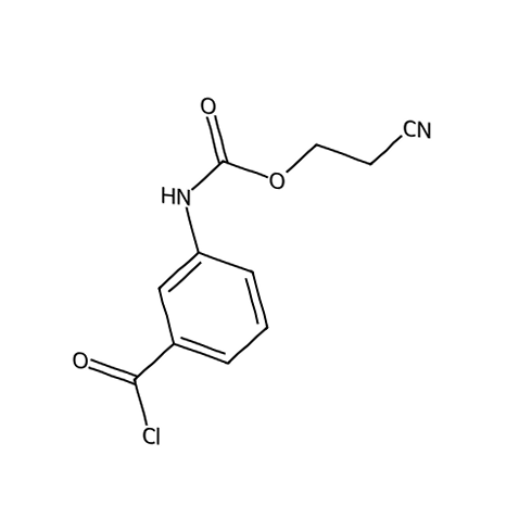 N#CCCOC(=O)Nc1cccc(C(=O)Cl)c1